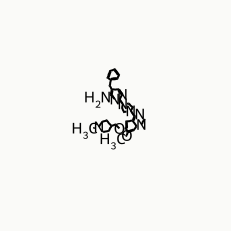 COc1cc2ncnc(N3CCN(c4ncc(Cc5ccccc5)c(N)n4)CC3)c2cc1OCC1CCN(C)CC1